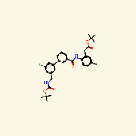 Cc1ccc(NC(=O)c2cccc(-c3cc(F)cc(CNC(=O)OC(C)(C)C)c3)c2)c(CC(=O)OC(C)(C)C)c1